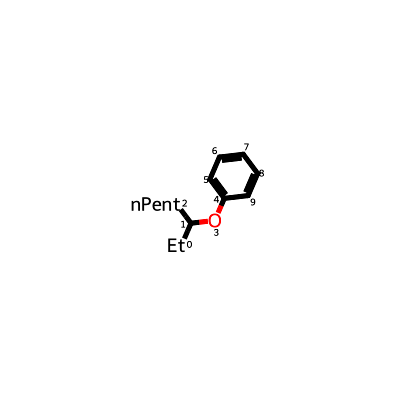 [CH2]CC(CCCCC)Oc1ccccc1